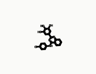 Oc1cc(-c2nc(Nc3ccc(Cl)cc3)c3ccccc3n2)cc(O)c1O